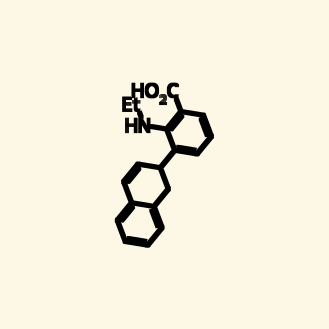 CCNc1c(C(=O)O)cccc1C1C=Cc2ccccc2C1